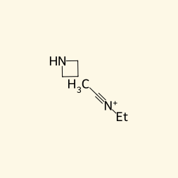 C1CNC1.CC#[N+]CC